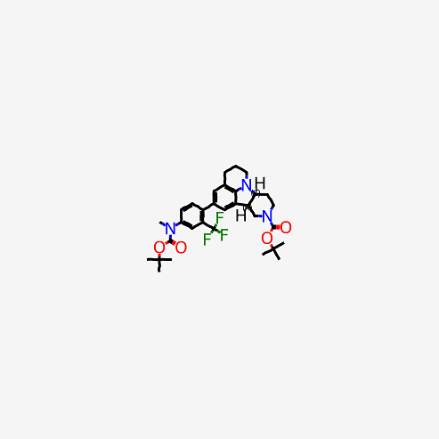 CN(C(=O)OC(C)(C)C)c1ccc(-c2cc3c4c(c2)[C@@H]2CN(C(=O)OC(C)(C)C)CC[C@@H]2N4CCC3)c(C(F)(F)F)c1